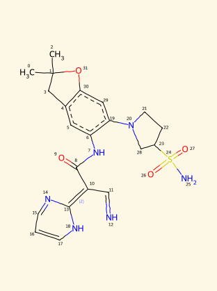 CC1(C)Cc2cc(NC(=O)/C(C=N)=C3\N=CC=CN3)c(N3CCC(S(N)(=O)=O)C3)cc2O1